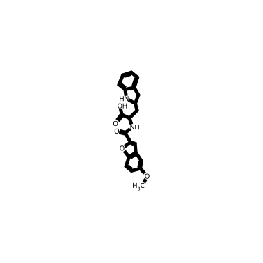 COc1ccc2oc(C(=O)NC(CC3Cc4ccccc4N3)C(=O)O)cc2c1